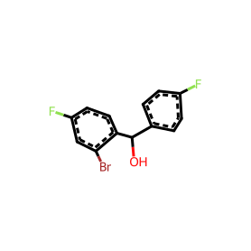 OC(c1ccc(F)cc1)c1ccc(F)cc1Br